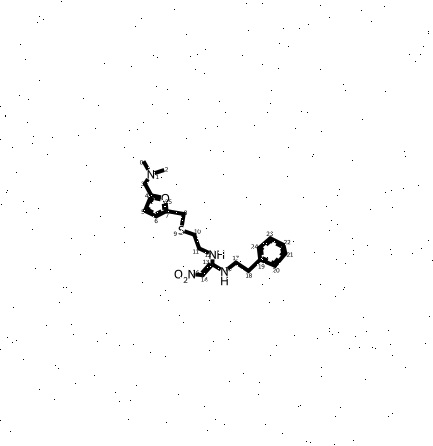 CN(C)Cc1ccc(CSCCNC(=C[N+](=O)[O-])NCCc2ccccc2)o1